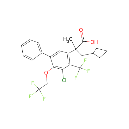 CC(CC1CCC1)(C(=O)O)c1cc(-c2ccccc2)c(OCC(F)(F)F)c(Cl)c1C(F)(F)F